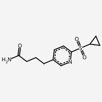 NC(=O)CC[CH]c1ccc(S(=O)(=O)C2CC2)nc1